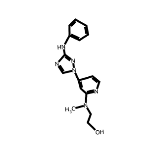 CN(CCO)c1cc(-n2cnc(Nc3ccccc3)n2)ccn1